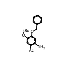 CC(=O)c1cc(OC(C)(C)C)c(OCc2ccccc2)cc1N